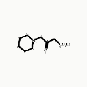 CCOC(=O)CC(=O)CN1CCCCC1